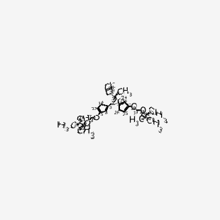 C[CH]=[Zr+2]([C]1=CC(OCO[Si](C)(C)C)=CC1)[C]1=CC(OCO[Si](C)(C)C)=CC1.[Cl-].[Cl-]